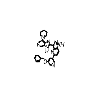 c1ccc(COc2cncc(-c3ccc4[nH]nc(-c5nc6c(N7CCCCC7)cncc6[nH]5)c4n3)c2)cc1